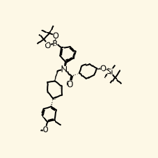 COc1ccc([C@H]2CC[C@H](CN(c3cccc(B4OC(C)(C)C(C)(C)O4)c3)C(=O)[C@H]3CC[C@H](O[Si](C)(C)C(C)(C)C)CC3)CC2)cc1C